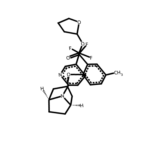 Cc1ccc(O[C@H]2C[C@H]3CC[C@@H](C2)N3c2ccc(C(F)(F)F)cn2)c(C(=O)OC2CCCO2)c1